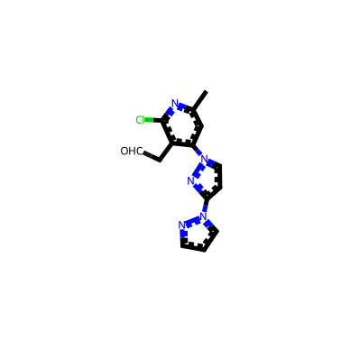 Cc1cc(-n2ccc(-n3cccn3)n2)c(CC=O)c(Cl)n1